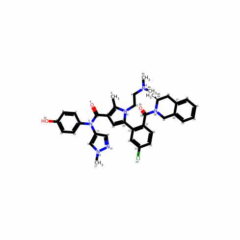 Cc1c(C(=O)N(c2ccc(O)cc2)c2cnn(C)c2)cc(-c2cc(Cl)ccc2C(=O)N2Cc3ccccc3C[C@H]2C)n1CCN(C)C